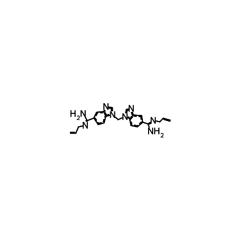 C=CCN=C(N)c1ccc2c(c1)ncn2Cn1cnc2cc(C(N)=NCC=C)ccc21